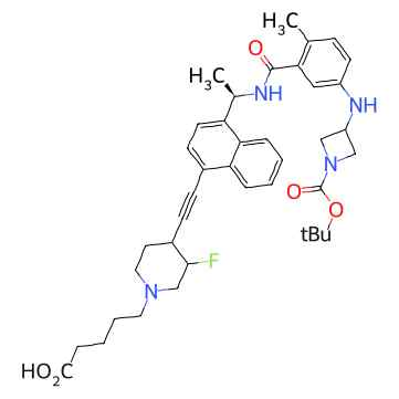 Cc1ccc(NC2CN(C(=O)OC(C)(C)C)C2)cc1C(=O)N[C@H](C)c1ccc(C#CC2CCN(CCCCC(=O)O)CC2F)c2ccccc12